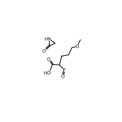 COCCCC(P=O)C(=O)O.O=C1CN1